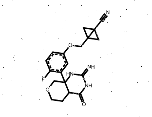 N#CC12CC1(COc1ccc(F)c(C34COCCC3C(=O)NC(=N)N4)c1)C2